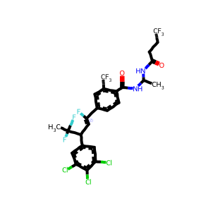 CC(NC(=O)CCC(F)(F)F)NC(=O)c1ccc(/C(F)=C/C(c2cc(Cl)c(Cl)c(Cl)c2)C(C)(F)F)cc1C(F)(F)F